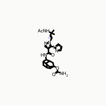 CC(=O)NC(C)(C)/C=C/n1ncc(C(=O)NC2C3CC4CC2CC(OC(N)=O)(C4)C3)c1-n1cccn1